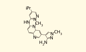 CC(C)c1cnnc(NC2=CC=C3N=CC(c4cn(C)nc4N)=CC3N2C)c1